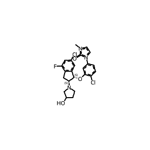 Cn1ccn(-c2ccc(Cl)c(O[C@H]3c4cc(Cl)cc(F)c4C[C@@H]3N3CCC(O)C3)c2)c1=O